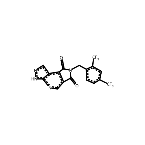 O=C1c2cnc3[nH]ncc3c2C(=O)N1Cc1ccc(C(F)(F)F)cc1C(F)(F)F